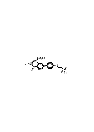 CCOC(=O)N1C[C@H](C)N(C(C)=O)c2ccc(-c3ccc(OCCS(C)(=O)=O)cc3)cc21